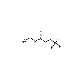 CCNC(=O)CCC(F)(F)F